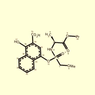 COCP(=O)(N[C@@H](C)C(=O)OC(C)C)Oc1cc(C(=O)O)c(O)c2ccccc12